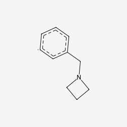 [c]1cccc(CN2CCC2)c1